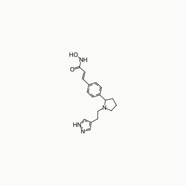 O=C(C=Cc1ccc(C2CCCN2CCc2cn[nH]c2)cc1)NO